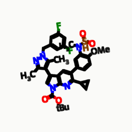 COc1ccc(-c2cc3c(-c4c(C)nn(Cc5cc(F)cc(F)c5)c4C)cn(C(=O)OC(C)(C)C)c3nc2C2CC2)cc1N(C)[SH](=O)=O